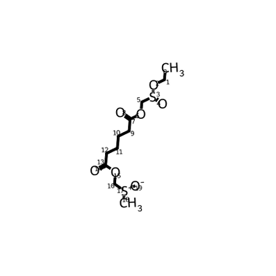 CCOS(=O)COC(=O)CCCCC(=O)OC[S+](C)[O-]